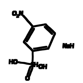 O=[N+]([O-])c1cccc([SH](=O)(O)O)c1.[NaH]